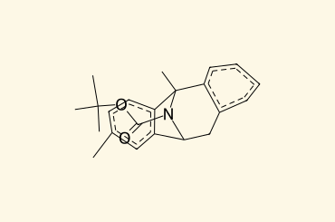 Cc1ccc2c(c1)C1Cc3ccccc3C2(C)N1C(=O)OC(C)(C)C